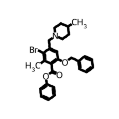 Cc1c(Br)c(CN2CCC(C)CC2)cc(OCc2ccccc2)c1C(=O)Oc1ccccc1